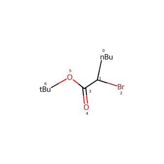 CCCCC(Br)C(=O)OC(C)(C)C